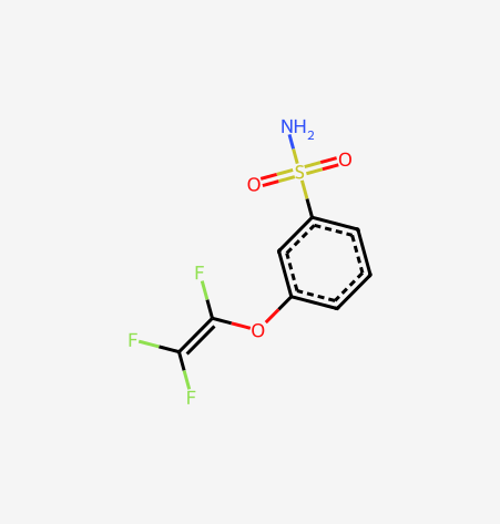 NS(=O)(=O)c1cccc(OC(F)=C(F)F)c1